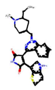 COCC1CC(Cn2nc(C3=C(c4c[nH]c5ccsc45)C(=O)NC3=O)c3ccccc32)CCN1C